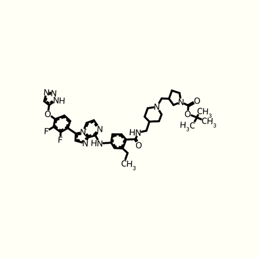 CCc1cc(Nc2nccn3c(-c4ccc(Oc5cnn[nH]5)c(F)c4F)cnc23)ccc1C(=O)NCC1CCN(CC2CCN(C(=O)OC(C)(C)C)C2)CC1